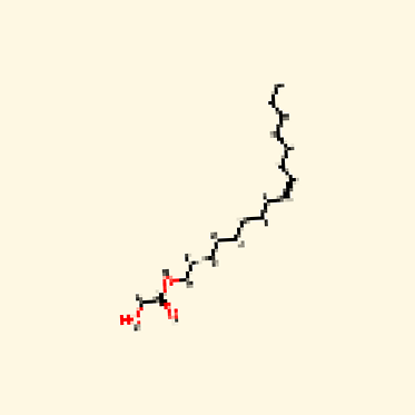 CCCCCC/C=C\CCCCCCCCOC(=O)CO